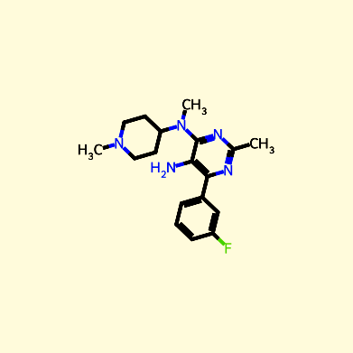 Cc1nc(-c2cccc(F)c2)c(N)c(N(C)C2CCN(C)CC2)n1